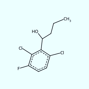 CCCC(O)c1c(Cl)ccc(F)c1Cl